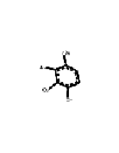 CCCCc1ccc(O)c(C(C)(C)C)c1C(C)(C)C